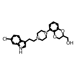 OCC1COc2c(cccc2N2CCN(CCc3c[nH]c4cc(Cl)ccc34)CC2)O1